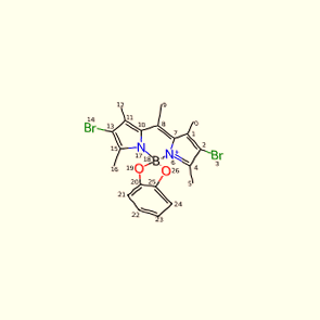 CC1=C(Br)C(C)=[N+]2C1=C(C)c1c(C)c(Br)c(C)n1[B-]21Oc2ccccc2O1